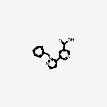 O=C(O)c1cncc(-c2ccnn2Cc2ccccc2)c1